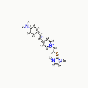 CN(C)c1ccc(/C=C/c2cc[n+](CCSC3N(C)C=CN3C)cc2)cc1